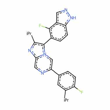 CC(C)c1cc(-c2cn3c(-c4ccc5[nH]ncc5c4F)c(C(C)C)nc3cn2)ccc1F